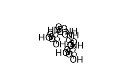 Cc1ccc(NC(=O)Nc2ccc(C)c(S(=O)(=O)Nc3cc(S(=O)(=O)O)c4cc(O)ccc4c3)c2)cc1S(=O)(=O)Nc1cc(S(=O)(=O)O)c2cc(O)ccc2c1